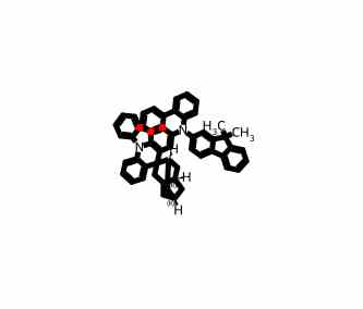 CC1(C)c2ccccc2-c2ccc(N(c3cc4c5c(c3)c3ccccc3n5-c3ccccc3C43CC4C[C@H]5C[C@@H]4C[C@H]3C5)c3ccccc3-c3ccccc3)cc21